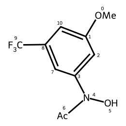 COc1cc(N(O)C(C)=O)cc(C(F)(F)F)c1